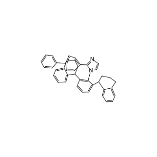 c1ccc(-c2ccc(-c3nccn3-c3c(C4CCCc5ccccc54)cccc3C3CCCc4ccccc43)cc2)cc1